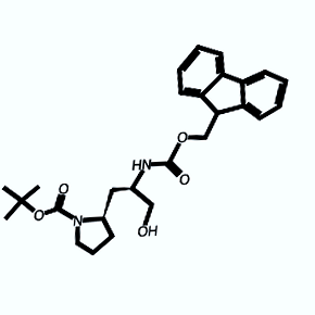 CC(C)(C)OC(=O)N1CCC[C@@H]1C[C@H](CO)NC(=O)OCC1c2ccccc2-c2ccccc21